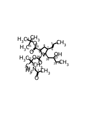 CC(N)=O.CC=CC1C[C@H](C(=O)OC(C)(C)C)N(C(=O)OC(C)(C)C)[C@@H]1CC(O)CC